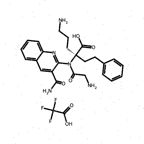 NCCC[C@@](CCc1ccccc1)(C(=O)O)N(C(=O)CN)c1nc2ccccc2cc1C(N)=O.O=C(O)C(F)(F)F